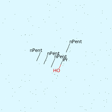 CC(C)O.CCCCCC.CCCCCC.CCCCCC.CCCCCC